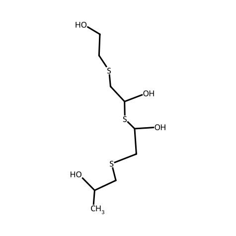 CC(O)CSCC(O)SC(O)CSCCO